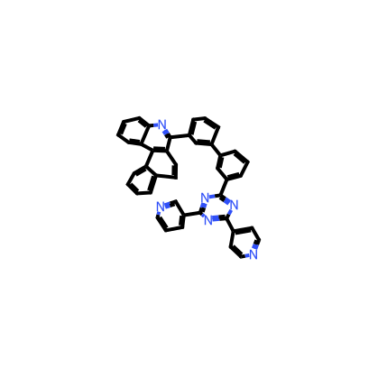 c1cncc(-c2nc(-c3ccncc3)nc(-c3cccc(-c4cccc(-c5nc6ccccc6c6c5ccc5ccccc56)c4)c3)n2)c1